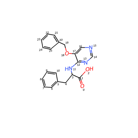 O=C(O)C(Cc1ccccc1)Nc1ncncc1OCc1ccccc1